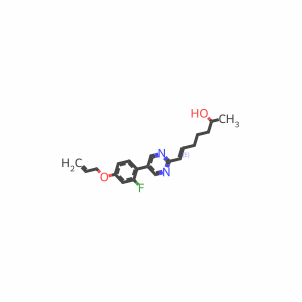 C=CCOc1ccc(-c2cnc(/C=C/CCCC(C)O)nc2)c(F)c1